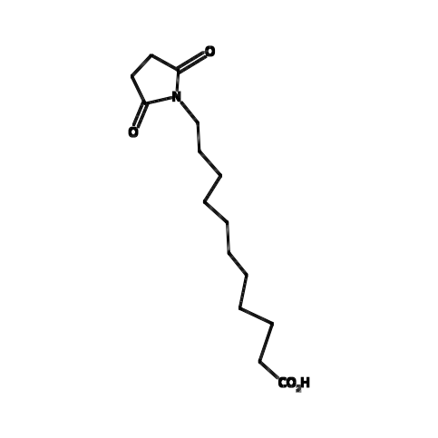 O=C(O)CCCCCCCCCCN1C(=O)CCC1=O